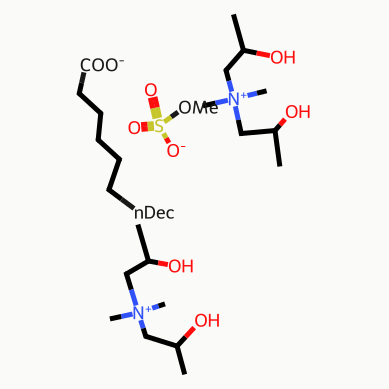 CC(O)C[N+](C)(C)CC(C)O.CC(O)C[N+](C)(C)CC(C)O.CCCCCCCCCCCCCCCC(=O)[O-].COS(=O)(=O)[O-]